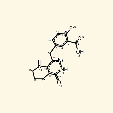 O=C(O)c1cc(Cc2n[nH]c(=O)c3c2NCCC3)ccc1F